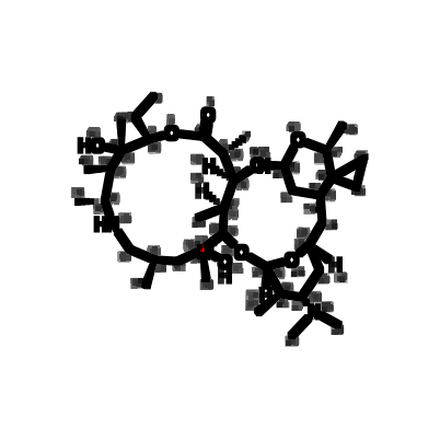 CC[C@H]1OC(=O)[C@H](C)[C@H]2O[C@H]3C[C@](C)(C[C@@H]4C[C@H](N(C)C)[C@@H](C)[C@@H](O4)O[C@H]([C@H]2C)[C@](C)(O)C[C@@H](C)CN[C@H](C)[C@@H](C)[C@]1(C)O)C1(CC1)[C@H](C)O3